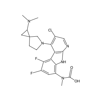 CN(C(=O)O)c1cc(F)c(F)c2c1[nH]c1ncc(Cl)c(N3CCC4(CC4N(C)C)C3)c12